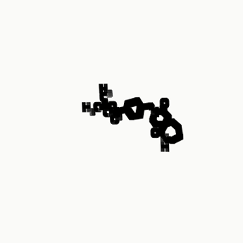 CC(C)(C)OC(=O)c1ccc(CN2CCC3(CCCCNC3=O)CC2=O)cc1